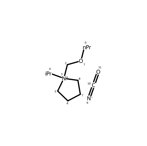 CCCOC[N+]1(C(C)C)CCCC1.[N-]=C=O